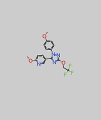 COc1ccc(-n2nc(OCC(F)(F)F)nc2-c2ccc(OC)nc2)cc1